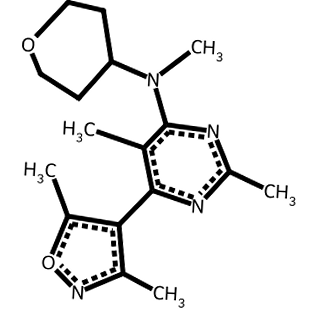 Cc1nc(-c2c(C)noc2C)c(C)c(N(C)C2CCOCC2)n1